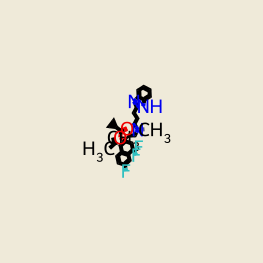 CC(C)[C@H]1c2ccc(F)cc2C(F)(F)C[C@@]1(CCN(C)CCCc1nc2ccccc2[nH]1)OC(=O)C1CC1